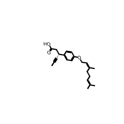 CC#C[C@H](CC(=O)O)c1ccc(OC/C=C(/C)CCC=C(C)C)cc1